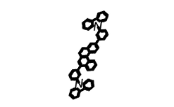 c1cc(-c2ccc3c(ccc4cc(-c5cccc(-n6c7ccccc7c7ccccc76)c5)c5ccccc5c43)c2)cc(-n2c3ccccc3c3ccccc32)c1